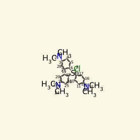 CN(C)c1ccc([Si](Cl)(c2ccc(N(C)C)cc2)c2ccc(N(C)C)cc2)cc1